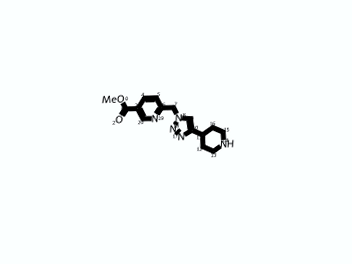 COC(=O)c1ccc(Cn2cc(C3CCNCC3)nn2)nc1